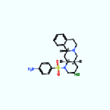 Cl.Nc1ccc(S(=O)(=O)N2CCC[C@@H]3CN4CCc5ccccc5[C@H]4C[C@@H]32)cc1